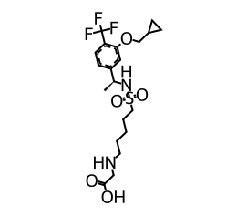 C[C@H](NS(=O)(=O)CCCCCNCC(=O)O)c1ccc(C(F)(F)F)c(OCC2CC2)c1